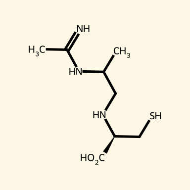 CC(=N)NC(C)CN[C@@H](CS)C(=O)O